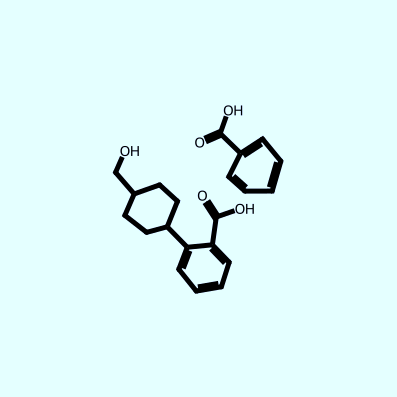 O=C(O)c1ccccc1.O=C(O)c1ccccc1C1CCC(CO)CC1